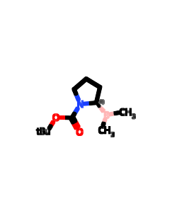 CB(C)[C@@H]1CCCN1C(=O)OC(C)(C)C